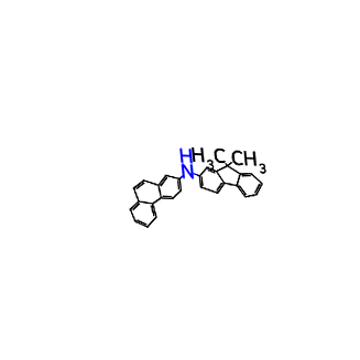 CC1(C)c2ccccc2-c2ccc(Nc3ccc4c(ccc5ccccc54)c3)cc21